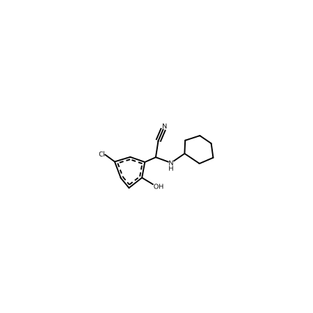 N#CC(NC1CCCCC1)c1cc(Cl)ccc1O